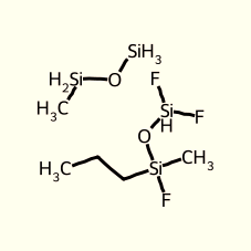 CCC[Si](C)(F)O[SiH](F)F.C[SiH2]O[SiH3]